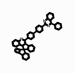 c1ccc(-c2nc(-c3ccc(-c4ccc(-c5nc6ccccc6c6c5-c5ccccc5C65c6ccccc6-c6ccccc65)cc4)cc3)nc3ccccc23)cc1